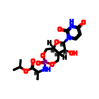 CC(C)OC(=O)[C@H](C)NP1(=O)OC[C@H]2[C@@H](O)[C@H](n3ccc(=O)[nH]c3=O)O[C@@H]2CO1